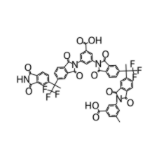 Cc1cc(C(=O)O)cc(N2C(=O)c3ccc(C(C)(c4ccc5c(c4)C(=O)N(c4cc(C(=O)O)cc(N6C(=O)c7ccc(C(C)(c8ccc9c(c8)C(=O)NC9=O)C(F)(F)F)cc7C6=O)c4)C5=O)C(F)(F)F)cc3C2=O)c1